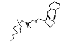 CCCCCC(C)(CC)OC(=O)CSCC1CCCC2CC3CC=CCC3CC12